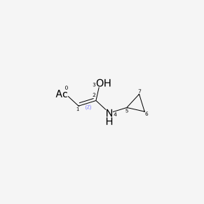 CC(=O)/C=C(\O)NC1CC1